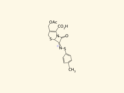 CC(=O)OCC1=C(C(=O)O)N2C(=O)/C(=N\Sc3ccc(C)cc3)C2SC1